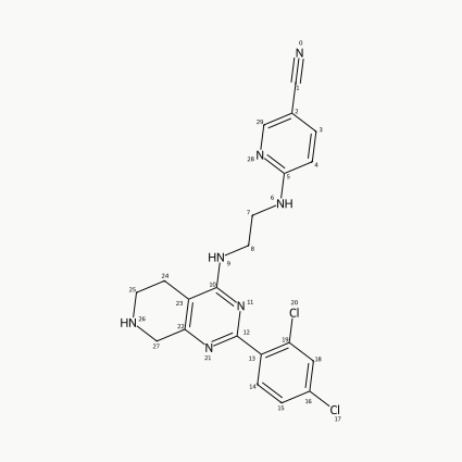 N#Cc1ccc(NCCNc2nc(-c3ccc(Cl)cc3Cl)nc3c2CCNC3)nc1